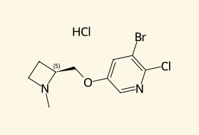 CN1CC[C@H]1COc1cnc(Cl)c(Br)c1.Cl